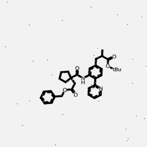 CC(Cc1ccc(-c2ccccn2)c(NC(=O)C2(CC(=O)OCc3ccccc3)CCCC2)c1)C(=O)OC(C)(C)C